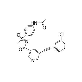 CC(=O)Nc1ccc(S(C)(=O)=NC(=O)c2cncc(C#Cc3cccc(Cl)c3)c2)cc1